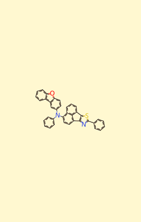 c1ccc(-c2nc3c(s2)-c2cccc4c(N(c5ccccc5)c5ccc6oc7ccccc7c6c5)ccc-3c24)cc1